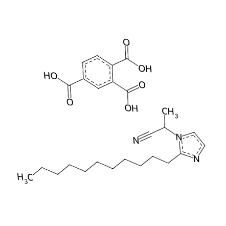 CCCCCCCCCCCc1nccn1C(C)C#N.O=C(O)c1ccc(C(=O)O)c(C(=O)O)c1